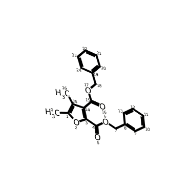 Cc1oc(C(=O)OCc2ccccc2)c(C(=O)OCc2ccccc2)c1C